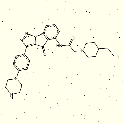 NCC1CCN(CC(=O)Nc2cccc3c2C(=O)C2=C(c4ccc(N5CCNCC5)cc4)N=NC23)CC1